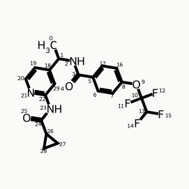 CC(NC(=O)c1ccc(OC(F)(F)C(F)F)cc1)c1ccnc(NC(=O)C2CC2)c1